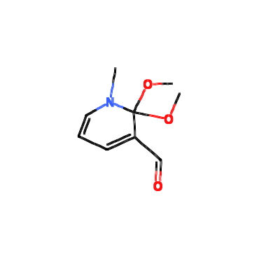 COC1(OC)C(C=O)=CC=CN1C